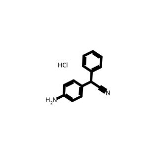 Cl.N#CC(c1ccccc1)c1ccc(N)cc1